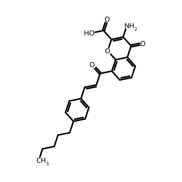 CCCCCc1ccc(C=CC(=O)c2cccc3c(=O)c(N)c(C(=O)O)oc23)cc1